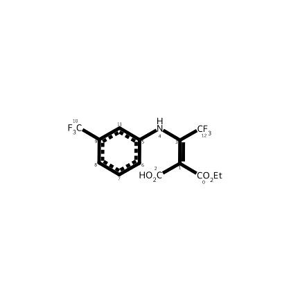 CCOC(=O)C(C(=O)O)=C(Nc1cccc(C(F)(F)F)c1)C(F)(F)F